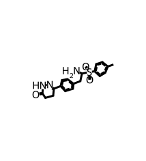 Cc1ccc(S(=O)(=O)C(N)Cc2ccc(C3=NNC(=O)CC3)cc2)cc1